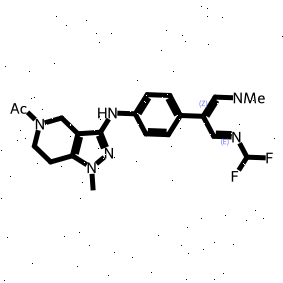 CN/C=C(\C=N\C(F)F)c1ccc(Nc2nn(C)c3c2CN(C(C)=O)CC3)cc1